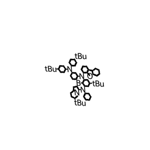 CC(C)(C)c1ccc(N(c2ccc(C(C)(C)C)cc2)c2ccc3c(c2)N(c2cccc4c2oc2ccccc24)c2cc(C(C)(C)C)cc4c2B3c2cc3ccc(C(C)(C)C)cn3c2N4c2ccccc2)cc1